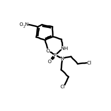 O=[N+]([O-])c1ccc2c(c1)OP(=O)(N(CCCl)CCCl)NC2